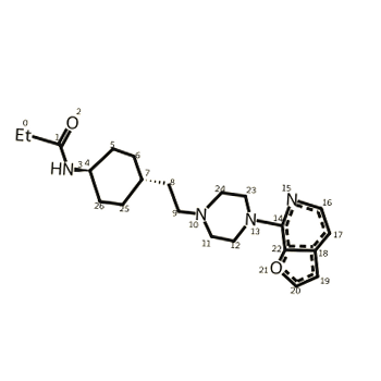 CCC(=O)N[C@H]1CC[C@H](CCN2CCN(c3nccc4ccoc34)CC2)CC1